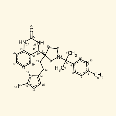 Cc1ccc(C(C)(C)N2CCC(CCc3ccc(F)s3)([C@@H]3NC(=O)Nc4ccccc43)C2)cn1